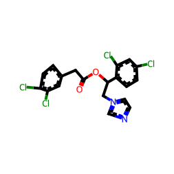 O=C(Cc1ccc(Cl)c(Cl)c1)OC(Cn1ccnc1)c1ccc(Cl)cc1Cl